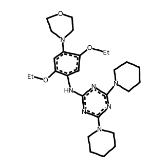 CCOc1cc(N2CCOCC2)c(OCC)cc1Nc1nc(N2CCCCC2)nc(N2CCCCC2)n1